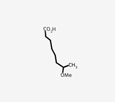 COC(C)CCCCCC(=O)O